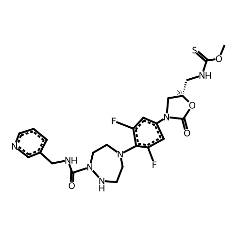 COC(=S)NC[C@H]1CN(c2cc(F)c(N3CCNN(C(=O)NCc4cccnc4)CC3)c(F)c2)C(=O)O1